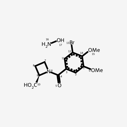 COc1cc(C(=O)N2CC[C@@H]2C(=O)O)cc(Br)c1OC.NO